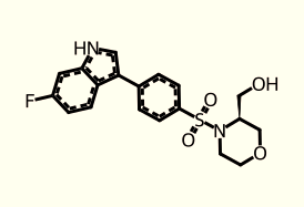 O=S(=O)(c1ccc(-c2c[nH]c3cc(F)ccc23)cc1)N1CCOC[C@@H]1CO